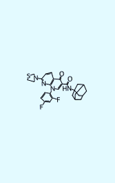 O=C(NC12CC3CC(CC(C3)C1)C2)c1cn(-c2ccc(F)cc2F)c2nc(N3CCSC3)ccc2c1=O